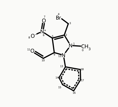 CN1C(CBr)=C([N+](=O)[O-])C(C=O)N1c1ccccc1